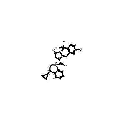 O=C([C@H]1C[C@H](F)CN1Cc1cc(Cl)ccc1C(F)(F)F)N1CCN(C2CC2)c2ccccc21